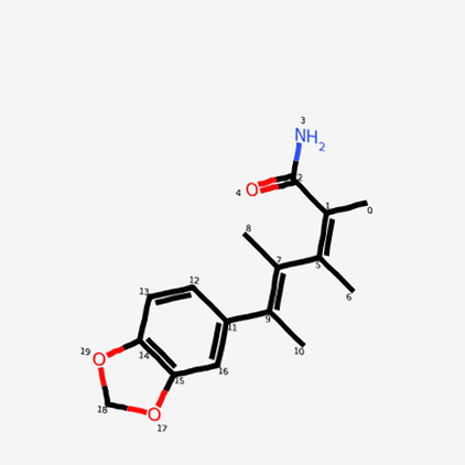 CC(C(N)=O)=C(C)C(C)=C(C)c1ccc2c(c1)OCO2